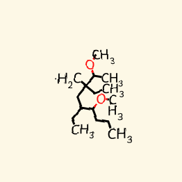 [CH2]C(CC)(CC(CC)C(CCC)OC)C(C)OC